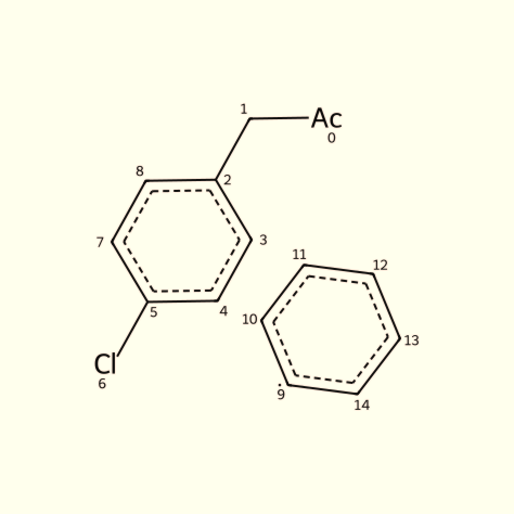 CC(=O)Cc1ccc(Cl)cc1.[c]1ccccc1